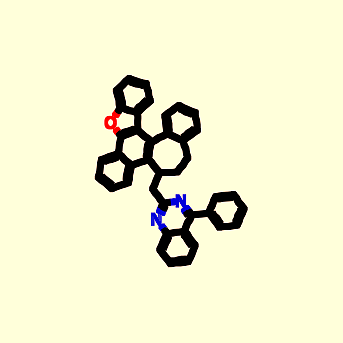 c1ccc(-c2nc(CC3CCc4ccccc4-c4c3c3ccccc3c3oc5ccccc5c43)nc3ccccc23)cc1